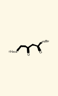 CCCCCCCC(=O)CC(=O)CCCC